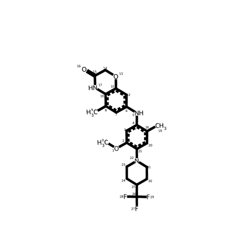 COc1cc(Nc2cc(C)c3c(c2)OCC(=O)N3)c(C)cc1N1CCC(C(F)(F)F)CC1